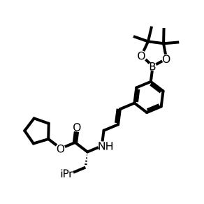 CC(C)C[C@@H](NC/C=C/c1cccc(B2OC(C)(C)C(C)(C)O2)c1)C(=O)OC1CCCC1